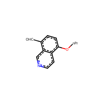 CCCOc1ccc(C=O)c2cnccc12